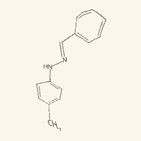 Cc1ccc(NN=Cc2ccccc2)cc1